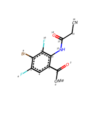 COC(=O)c1cc(F)c(Br)c(F)c1NC(=O)CC#N